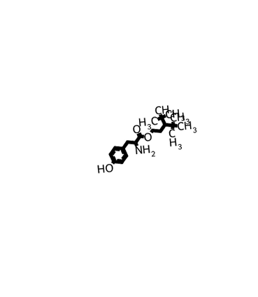 CC(C)(C)C(CCOC(=O)C(N)Cc1ccc(O)cc1)C(C)(C)C